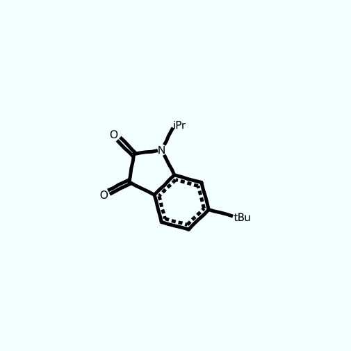 CC(C)N1C(=O)C(=O)c2ccc(C(C)(C)C)cc21